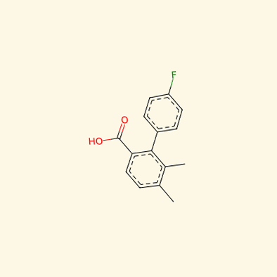 Cc1ccc(C(=O)O)c(-c2ccc(F)cc2)c1C